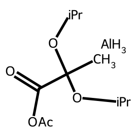 CC(=O)OC(=O)C(C)(OC(C)C)OC(C)C.[AlH3]